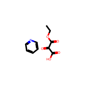 CCOC(=O)C(=O)C(=O)O.c1ccncc1